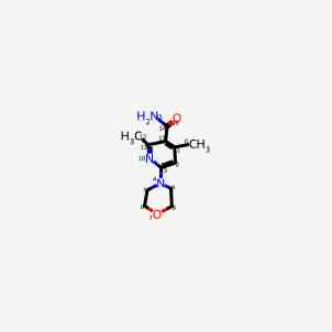 Cc1cc(N2CCOCC2)nc(C)c1C(N)=O